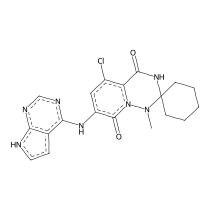 CN1n2c(c(Cl)cc(Nc3ncnc4[nH]ccc34)c2=O)C(=O)NC12CCCCC2